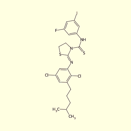 CC(C)CCCc1cc(Cl)cc(N=C2SCCN2C(=S)Nc2cc(F)cc(I)c2)c1Cl